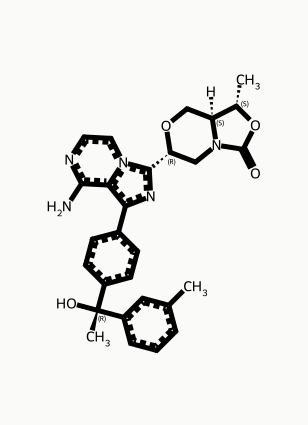 Cc1cccc([C@](C)(O)c2ccc(-c3nc([C@H]4CN5C(=O)O[C@@H](C)[C@@H]5CO4)n4ccnc(N)c34)cc2)c1